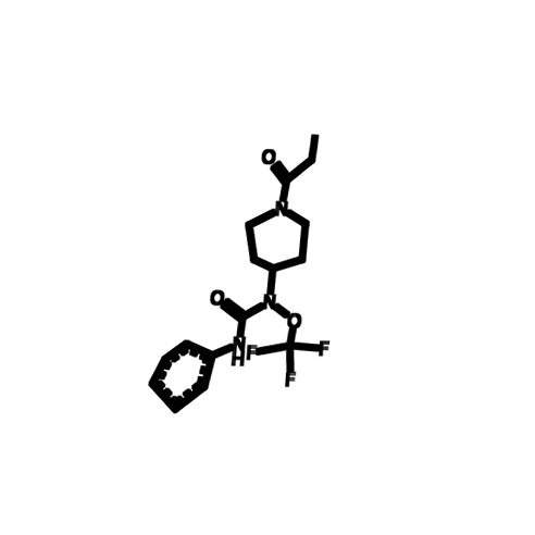 CCC(=O)N1CCC(N(OC(F)(F)F)C(=O)Nc2ccccc2)CC1